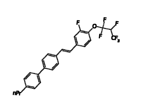 CCCc1ccc(-c2ccc(C=Cc3ccc(OC(F)(F)C(F)C(F)(F)F)c(F)c3)cc2)cc1